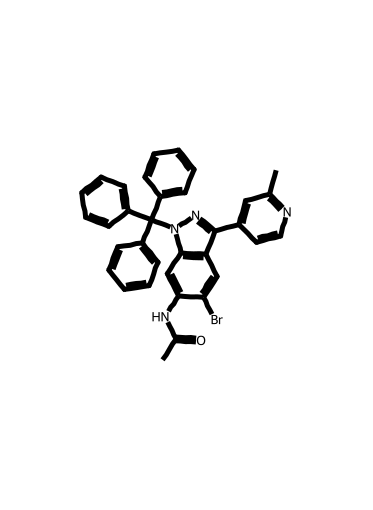 CC(=O)Nc1cc2c(cc1Br)c(-c1ccnc(C)c1)nn2C(c1ccccc1)(c1ccccc1)c1ccccc1